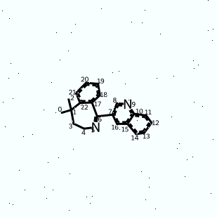 CC1(C)CCN=C(c2cnc3ccccc3c2)c2ccccc21